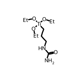 CC[O][Ti]([CH2]CCNC(N)=O)([O]CC)[O]CC